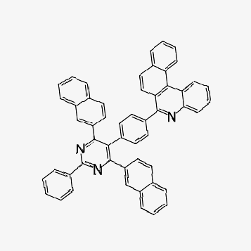 c1ccc(-c2nc(-c3ccc4ccccc4c3)c(-c3ccc(-c4nc5ccccc5c5c4ccc4ccccc45)cc3)c(-c3ccc4ccccc4c3)n2)cc1